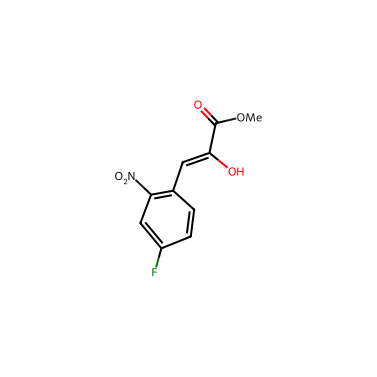 COC(=O)C(O)=Cc1ccc(F)cc1[N+](=O)[O-]